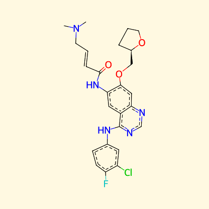 CN(C)CC=CC(=O)Nc1cc2c(Nc3ccc(F)c(Cl)c3)ncnc2cc1OC[C@H]1CCCO1